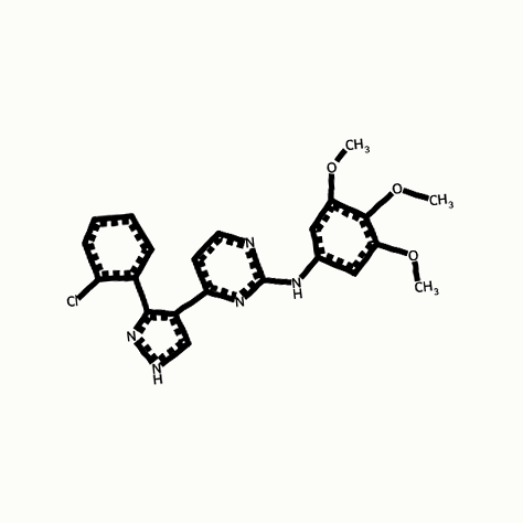 COc1cc(Nc2nccc(-c3c[nH]nc3-c3ccccc3Cl)n2)cc(OC)c1OC